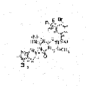 CC1Cc2c(nc(NN)n(-c3ccc4c(ncn4C)n3)c2=O)CN1C(=O)c1ccc(Br)c(C(F)(F)F)c1